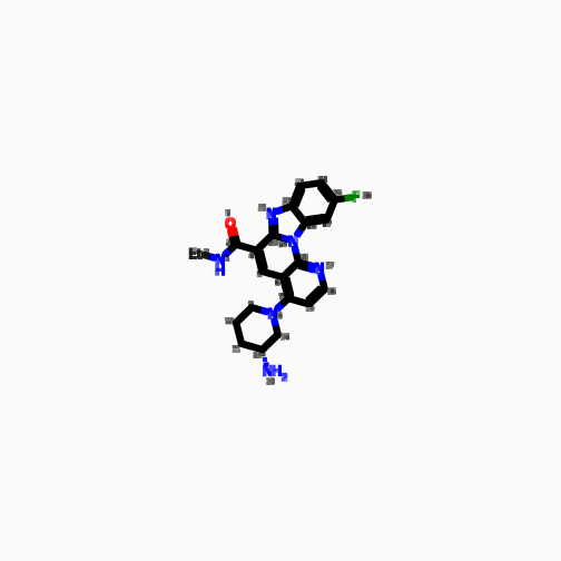 CCNC(=O)c1cc2c(N3CCC[C@@H](N)C3)ccnc2n2c1nc1ccc(F)cc12